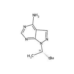 C[C@H](n1ncc2c(N)ncnc21)C(C)(C)C